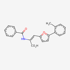 Cc1ccccc1-c1ccc(/C=C(/NC(=O)c2ccccc2)C(=O)O)o1